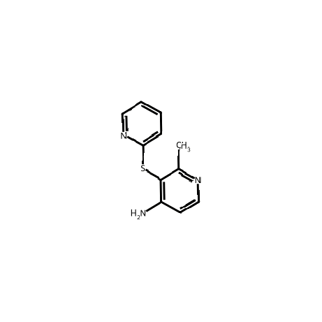 Cc1nccc(N)c1Sc1ccccn1